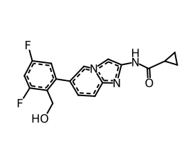 O=C(Nc1cn2cc(-c3cc(F)cc(F)c3CO)ccc2n1)C1CC1